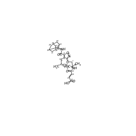 CC(C)Sc1c(OCC(C)(C)NC(=O)/C=C/C(=O)O)noc1C(=O)NC1C2CC3CC(C2)CC1C3